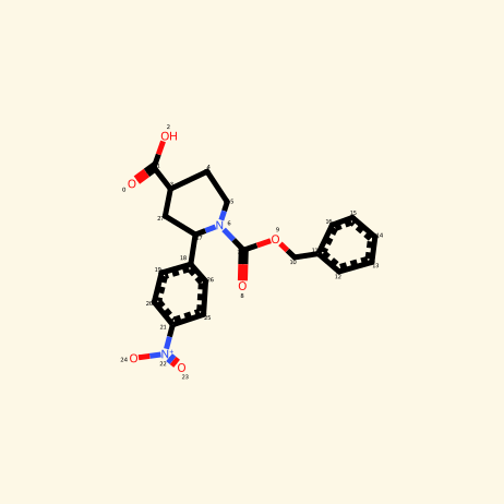 O=C(O)C1CCN(C(=O)OCc2ccccc2)C(c2ccc([N+](=O)[O-])cc2)C1